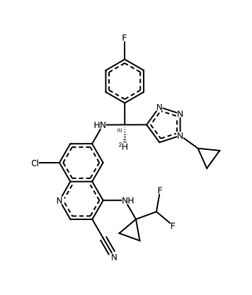 [2H][C@](Nc1cc(Cl)c2ncc(C#N)c(NC3(C(F)F)CC3)c2c1)(c1ccc(F)cc1)c1cn(C2CC2)nn1